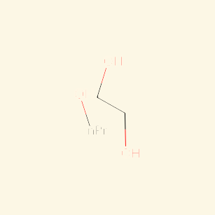 CCCO.OCCO